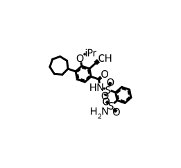 C#Cc1c(C(=O)NS(=O)(=O)c2ccccc2S(N)(=O)=O)ccc(C2CCCCCC2)c1OC(C)C